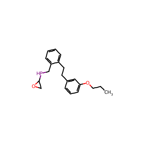 CCCOc1cccc(CCc2ccccc2CPC2CO2)c1